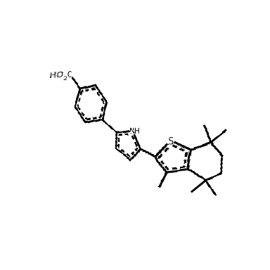 Cc1c(-c2ccc(-c3ccc(C(=O)O)cc3)[nH]2)sc2c1C(C)(C)CCC2(C)C